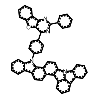 c1ccc(-c2nc(-c3ccc(-n4c5ccccc5c5ccc6c(ccc7c6c6cccc8c9ccccc9n7c86)c54)cc3)c3oc4ccccc4c3n2)cc1